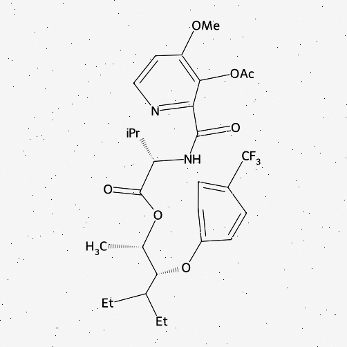 CCC(CC)[C@@H](Oc1ccc(C(F)(F)F)cc1)[C@H](C)OC(=O)[C@@H](NC(=O)c1nccc(OC)c1OC(C)=O)C(C)C